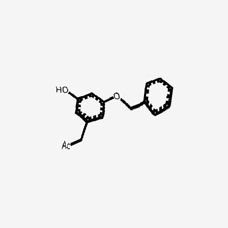 CC(=O)Cc1cc(O)cc(OCc2ccccc2)c1